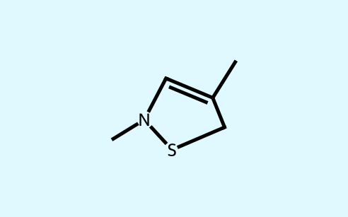 CC1=CN(C)SC1